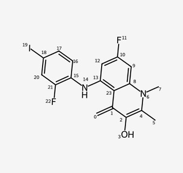 C=C1C(O)=C(C)N(C)c2cc(F)cc(Nc3ccc(I)cc3F)c21